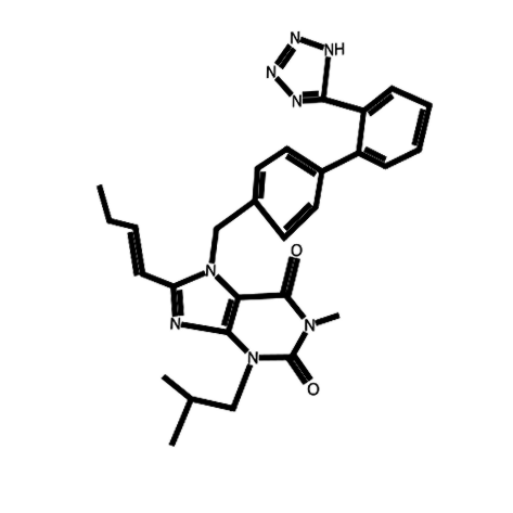 CCC=Cc1nc2c(c(=O)n(C)c(=O)n2CC(C)C)n1Cc1ccc(-c2ccccc2-c2nnn[nH]2)cc1